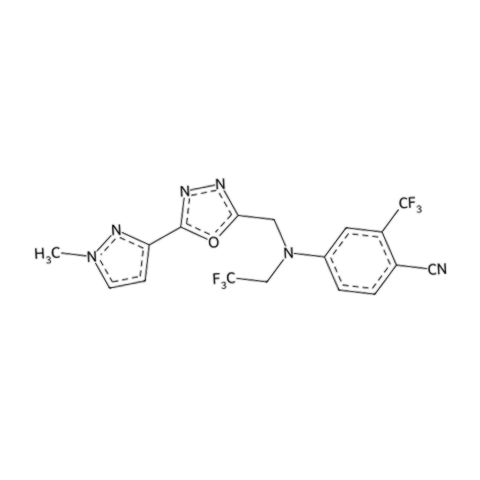 Cn1ccc(-c2nnc(CN(CC(F)(F)F)c3ccc(C#N)c(C(F)(F)F)c3)o2)n1